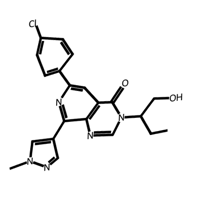 CCC(CO)n1cnc2c(-c3cnn(C)c3)nc(-c3ccc(Cl)cc3)cc2c1=O